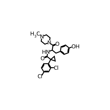 CN1CCN(C(=O)C(Cc2ccc(O)cc2)NC(=O)C2(c3ccc(Cl)cc3Cl)CC2)CC1